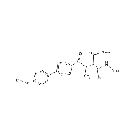 CCOc1ccc(-c2ccc(C(=O)N(C)C(C(=O)NC)C(=O)NO)cc2)cc1